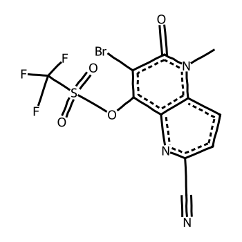 Cn1c(=O)c(Br)c(OS(=O)(=O)C(F)(F)F)c2nc(C#N)ccc21